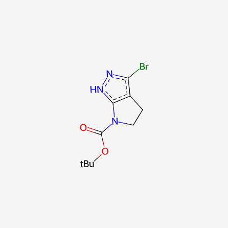 CC(C)(C)OC(=O)N1CCc2c(Br)n[nH]c21